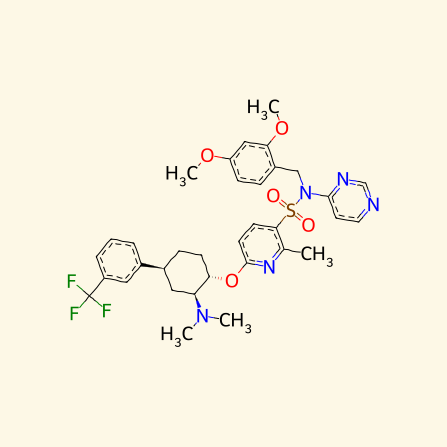 COc1ccc(CN(c2ccncn2)S(=O)(=O)c2ccc(O[C@H]3CC[C@H](c4cccc(C(F)(F)F)c4)C[C@@H]3N(C)C)nc2C)c(OC)c1